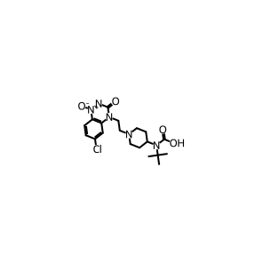 CC(C)(C)N(C(=O)O)C1CCN(CCn2c(=O)n[n+]([O-])c3ccc(Cl)cc32)CC1